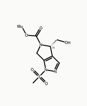 CC(C)(C)OC(=O)N1Cc2c(cnn2S(C)(=O)=O)[C@H]1CO